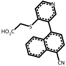 N#Cc1ccc(-c2cnccc2SCC(=O)O)c2ccccc12